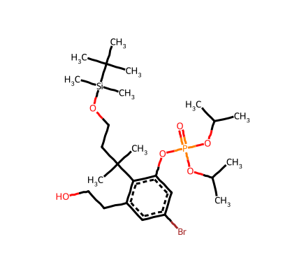 CC(C)OP(=O)(Oc1cc(Br)cc(CCO)c1C(C)(C)CCO[Si](C)(C)C(C)(C)C)OC(C)C